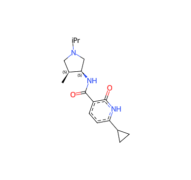 CC(C)N1C[C@H](C)[C@H](NC(=O)c2ccc(C3CC3)[nH]c2=O)C1